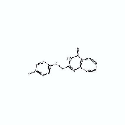 O=c1[nH]c(COc2ccc(F)nc2)nc2cnccc12